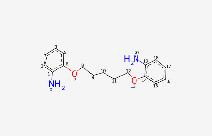 Nc1ccccc1OCCCCCOc1ccccc1N